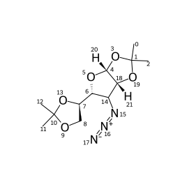 CC1(C)O[C@H]2O[C@@H]([C@H]3COC(C)(C)O3)C(N=[N+]=[N-])[C@H]2O1